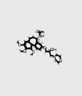 COc1cc2c(c(OC)c1OC)-c1ccc(OCC(O)CN3CCOCC3)cc1[C@@H](NC(C)=O)CC2